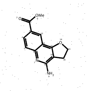 COC(=O)c1ccc2nc(N)c3c(c2c1)OCC3